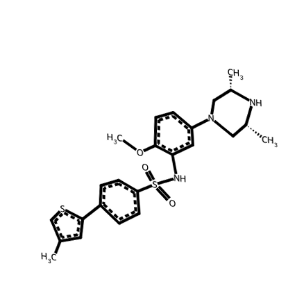 COc1ccc(N2C[C@@H](C)N[C@@H](C)C2)cc1NS(=O)(=O)c1ccc(-c2cc(C)cs2)cc1